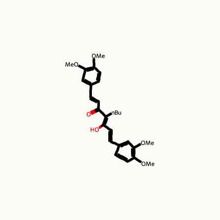 CCCC/C(C(=O)/C=C/c1ccc(OC)c(OC)c1)=C(O)\C=C\c1ccc(OC)c(OC)c1